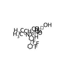 C[C@@H](NS(=O)(=O)C1CC(O)C1)c1cn(CC(C)(C)C)c2cc(-c3ccccc3C(F)(F)F)ccc12